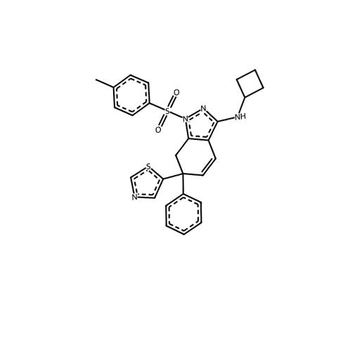 Cc1ccc(S(=O)(=O)n2nc(NC3CCC3)c3c2CC(c2ccccc2)(c2cncs2)C=C3)cc1